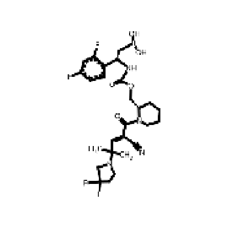 CC(C)(C=C(C#N)C(=O)N1CCCC[C@@H]1COC(=O)N[C@H](CB(O)O)c1ccc(F)cc1F)N1CCC(F)(F)C1